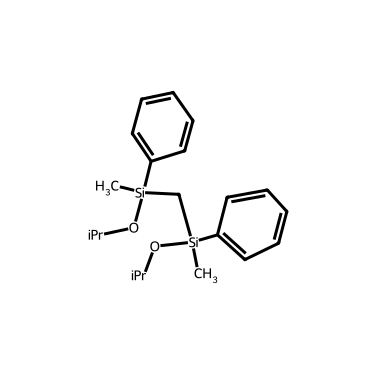 CC(C)O[Si](C)(C[Si](C)(OC(C)C)c1ccccc1)c1ccccc1